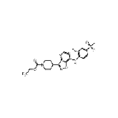 CS(=O)(=O)c1ccc(Nc2ncnc3c(C4CCN(C(=O)OCC(F)(F)F)CC4)noc23)c(F)c1